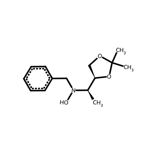 C[C@H]([C@H]1COC(C)(C)O1)N(O)Cc1ccccc1